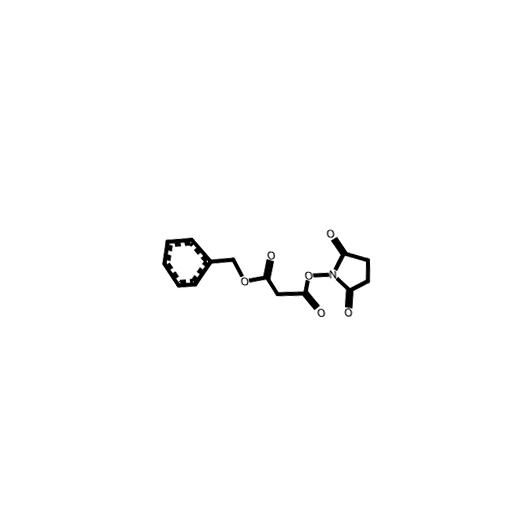 O=C(CC(=O)ON1C(=O)CCC1=O)OCc1ccccc1